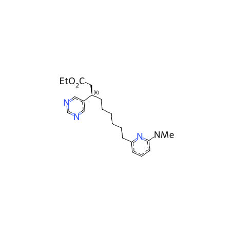 CCOC(=O)C[C@@H](CCCCCCc1cccc(NC)n1)c1cncnc1